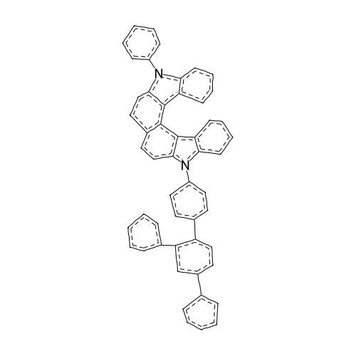 c1ccc(-c2ccc(-c3ccc(-n4c5ccccc5c5c6c(ccc7c6c6ccccc6n7-c6ccccc6)ccc54)cc3)c(-c3ccccc3)c2)cc1